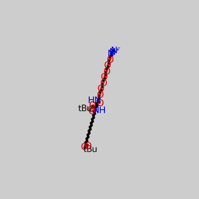 CC(C)(C)OC(=O)CCCCCCCCCCCCCCCCC(=O)NC(CCC(=O)NCCOCCOCCOCCOCCOCCOCCOCCN=[N+]=[N-])C(=O)OC(C)(C)C